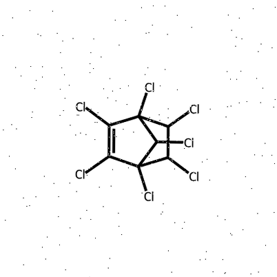 ClC1=C(Cl)C2(Cl)C(Cl)C(Cl)C1(Cl)C2Cl